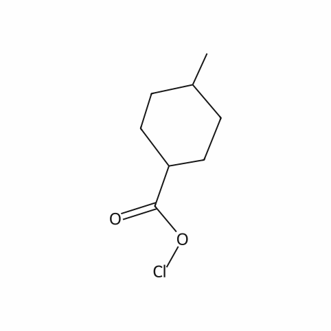 CC1CCC(C(=O)OCl)CC1